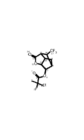 CCC(C)(F)C(=O)OC1C2CC3C1OC(=O)C3C2C(F)(F)F